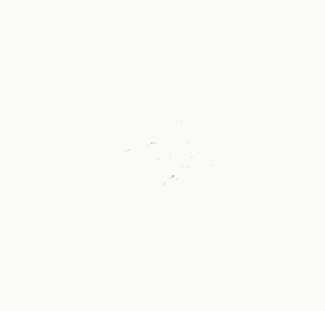 CC#CC#CCC(c1cc(F)ccc1F)c1cccn(C)c1=O